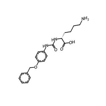 NCCCC[C@@H](NC(=O)Nc1ccc(OCc2ccccc2)cc1)C(=O)O